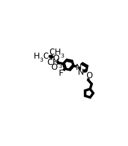 CC(C)(C)OC(=O)c1ccc(-n2ccc(OCCC3CCCC3)n2)cc1F